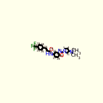 CN(C)C1CCN(c2nc3cc(NC(=O)C=Cc4ccc(C(F)(F)F)cc4)ccc3o2)C1